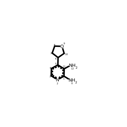 Nc1nccc(C2CCOC2)c1N